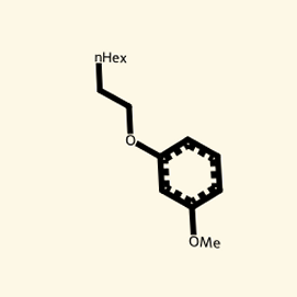 CCCCCCCCOc1cccc(OC)c1